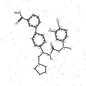 CNC(=O)c1cccc(-c2ccc(C(CN3CCCC3)N(C)C(=O)CN(C)c3ccc(Cl)c(Cl)c3)cc2)c1